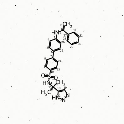 C=C(Nc1ccc(-c2ccc(S(=O)(=O)NC(C)(C)c3cnn[nH]3)cc2)cc1)c1ccccc1